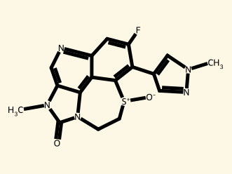 Cn1cc(-c2c(F)cc3ncc4c5c3c2[S+]([O-])CCn5c(=O)n4C)cn1